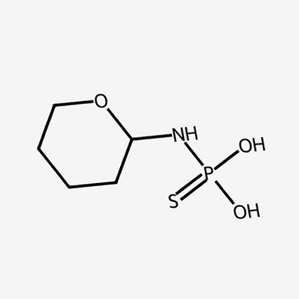 OP(O)(=S)NC1CCCCO1